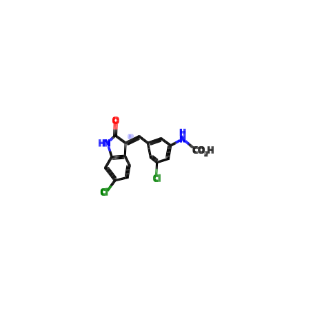 O=C(O)Nc1cc(Cl)cc(/C=C2/C(=O)Nc3cc(Cl)ccc32)c1